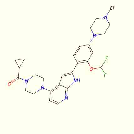 CCN1CCN(c2ccc(-c3cc4c(N5CCN(C(=O)C6CC6)CC5)ccnc4[nH]3)c(OC(F)F)c2)CC1